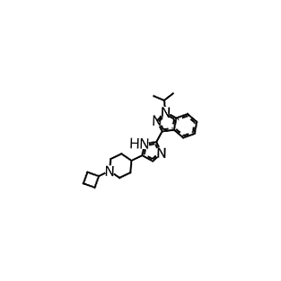 CC(C)n1nc(-c2ncc(C3CCN(C4CCC4)CC3)[nH]2)c2ccccc21